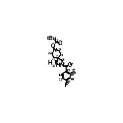 CC(C)(C)C(=O)ON1CCC(N)(CNC(=O)c2ccc(F)cc2F)CC1